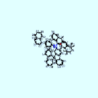 CC1(C)CCC(C)(C)c2c(-c3cc4c(cc3N(c3ccc(-c5cccc6ccccc56)cc3)c3cccc5ccccc35)C(c3ccccc3)(c3ccccc3)c3ccccc3-4)cccc21